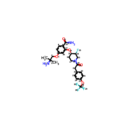 CC(C)(N)COc1ccc(C(N)=O)c(O[C@@H]2CCN(C(=O)Cc3ccc(OC(F)(F)F)cc3)C[C@@H]2F)c1